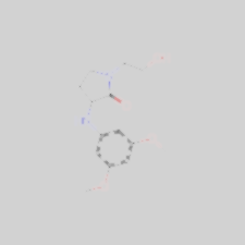 COc1cc(NC2CCN(CCO)C2=O)cc(OC)c1